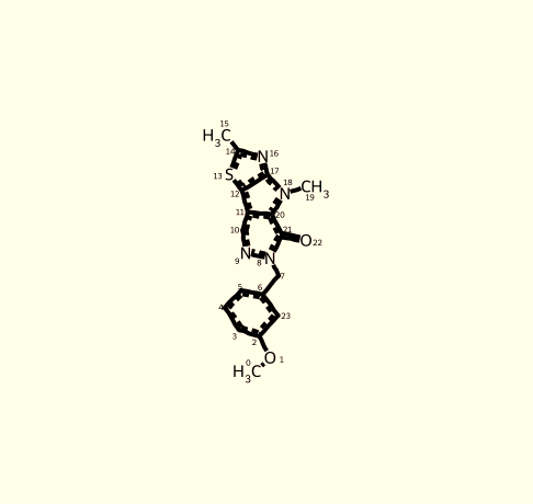 COc1cccc(Cn2ncc3c4sc(C)nc4n(C)c3c2=O)c1